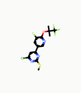 CSc1nc(Cl)cc(-c2cnc(OC(C)(C)C(F)(F)F)c(F)c2)n1